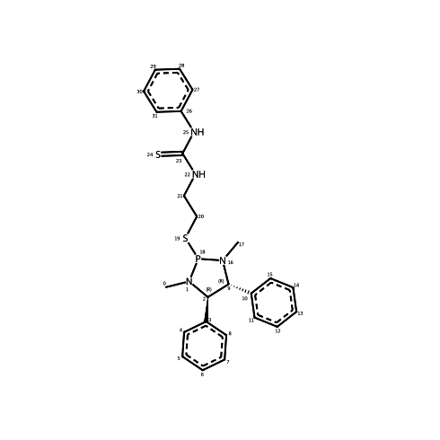 CN1[C@H](c2ccccc2)[C@@H](c2ccccc2)N(C)P1SCCNC(=S)Nc1ccccc1